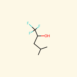 CC(C)CC(O)C(F)(F)F